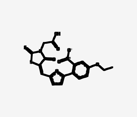 CCOc1ccc(-c2ccc(C=C3SC(=S)N(CC(=O)O)C3=O)o2)c([N+](=O)[O-])c1